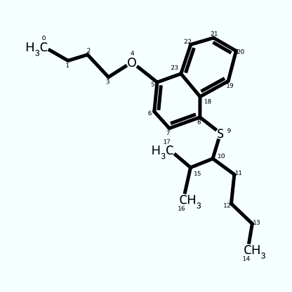 CCCCOc1ccc(SC(CCCC)C(C)C)c2ccccc12